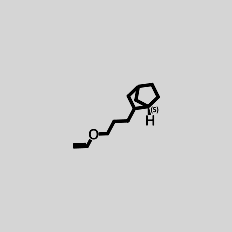 C=COCCCC1CC2CC[C@H]1C2